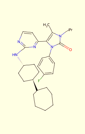 Cc1c(-c2ccnc(N[C@H]3CC[C@H](C4CCCCCC4)CC3)n2)n(-c2ccc(F)cc2)c(=O)n1C(C)C